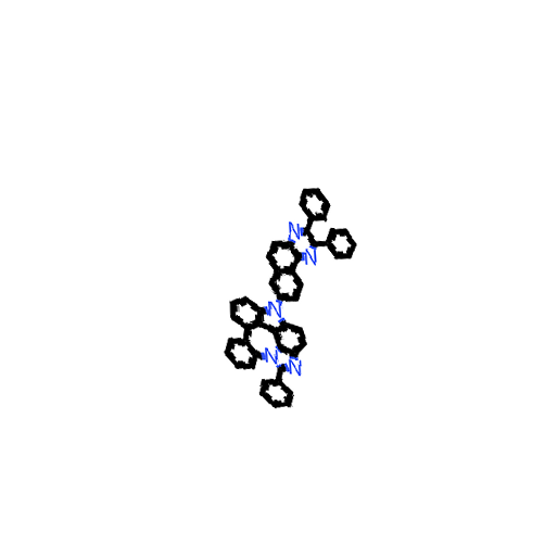 c1ccc(-c2nc3ccc4cc(-n5c6cccc7c8ccccc8n8c(-c9ccccc9)nc9ccc5c(c76)c98)ccc4c3nc2-c2ccccc2)cc1